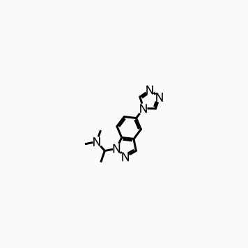 CC(N(C)C)n1ncc2cc(-n3cnnc3)ccc21